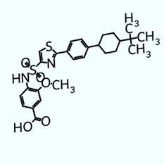 COc1cc(C(=O)O)ccc1NS(=O)(=O)c1csc(-c2ccc(C3CCC(C(C)(C)C)CC3)cc2)n1